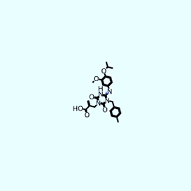 C=C(Cn1c(=O)[nH]/c(=N\c2ccc(OC(C)C)c(OC)c2)n(Cc2ccc(C)cc2)c1=O)C(=O)O